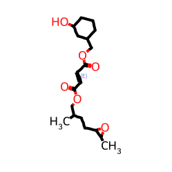 CC(CCC1OC1C)COC(=O)/C=C/C(=O)OCC1CCCC(O)C1